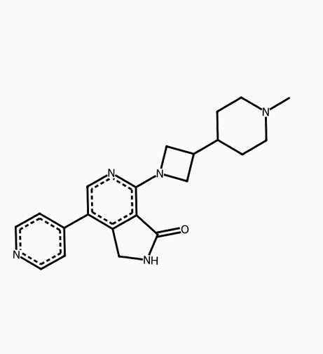 CN1CCC(C2CN(c3ncc(-c4ccncc4)c4c3C(=O)NC4)C2)CC1